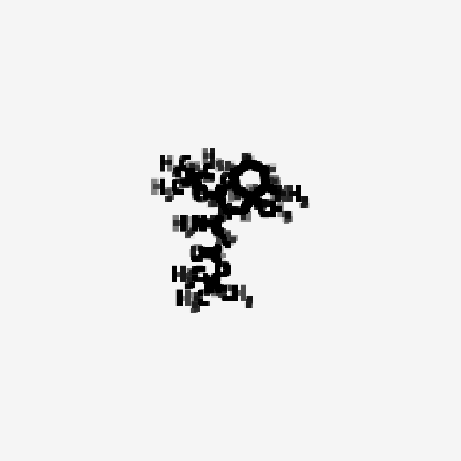 CC(C)(C)OC(=O)N=C(N)N(CC1(C)CCCCC1N)C(=O)OC(C)(C)C